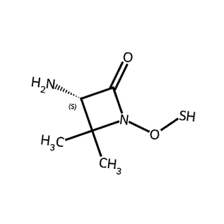 CC1(C)[C@H](N)C(=O)N1OS